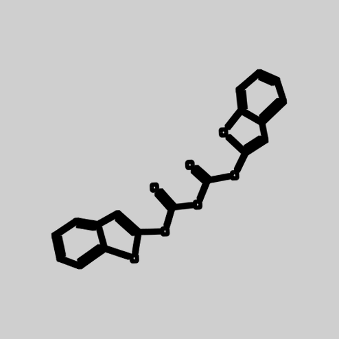 O=C(OC(=O)Oc1cc2ccccc2o1)Oc1cc2ccccc2o1